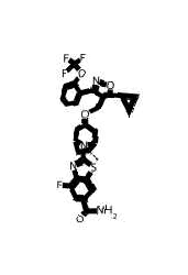 C[C@@H]1CC2CC(OCc3c(-c4ccccc4OC(F)(F)F)noc3C3CC3)CC1N2c1nc2c(F)cc(C(N)=O)cc2s1